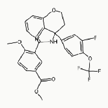 COC(=O)c1ccc(OC)c(C(=O)NC2(c3ccc(OC(F)(F)F)c(F)c3)CCOc3cccnc32)c1